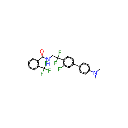 CN(C)c1ccc(-c2ccc(C(F)(F)CNC(=O)c3ccccc3C(F)(F)F)c(F)c2)cc1